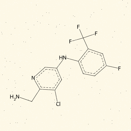 NCc1ncc(Nc2ccc(F)cc2C(F)(F)F)cc1Cl